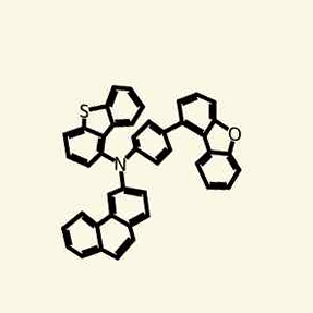 c1ccc2c(c1)ccc1ccc(N(c3ccc(-c4cccc5oc6ccccc6c45)cc3)c3cccc4sc5ccccc5c34)cc12